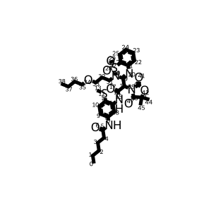 CCCCCC(=O)Nc1ccc(SC)c(NC(=O)C(C2=Nc3ccccc3S(=O)(=O)N2CCCOCCCC)N2C(=O)OC(C)(C)C2=O)c1